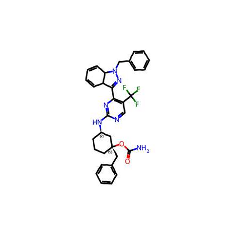 NC(=O)O[C@]1(Cc2ccccc2)CCC[C@@H](Nc2ncc(C(F)(F)F)c(C3=NN(Cc4ccccc4)C4C=CC=CC34)n2)C1